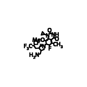 COC1=c2c(c(=O)[nH]c(=O)n2C2CC2)=C(C)C(F)C1N1CC(CN)C(CC(C(F)(F)F)C(F)(F)F)C1